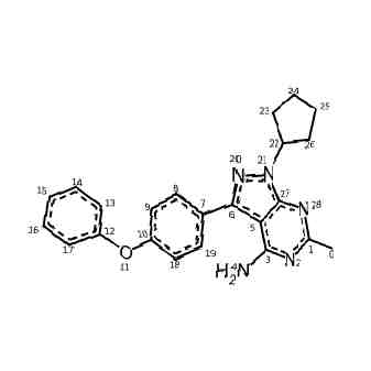 Cc1nc(N)c2c(-c3ccc(Oc4ccccc4)cc3)nn(C3CCCC3)c2n1